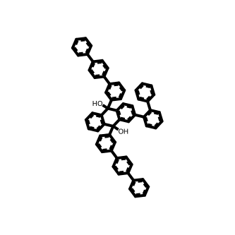 OC1(c2cccc(-c3ccc(-c4ccccc4)cc3)c2)c2ccccc2C(O)(c2cccc(-c3ccc(-c4ccccc4)cc3)c2)c2cc(-c3ccccc3-c3ccccc3)ccc21